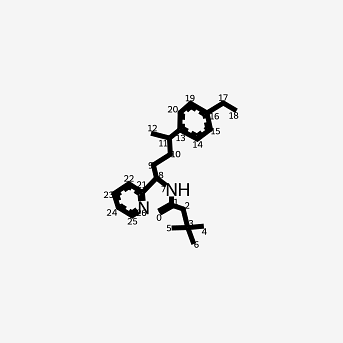 C=C(CC(C)(C)C)NC(CCC(C)c1ccc(CC)cc1)c1ccccn1